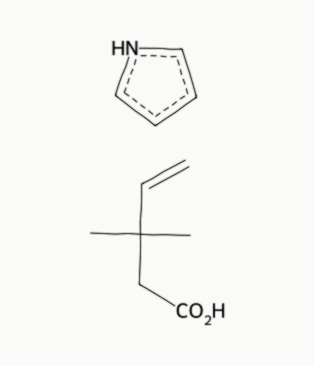 C=CC(C)(C)CC(=O)O.c1cc[nH]c1